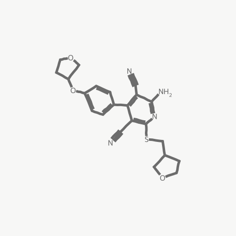 N#Cc1c(N)nc(SCC2CCOC2)c(C#N)c1-c1ccc(OC2CCOC2)cc1